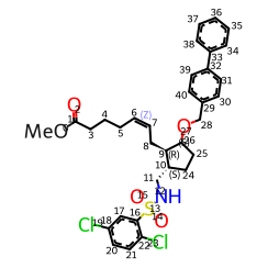 COC(=O)CCC/C=C\C[C@@H]1[C@@H](CNS(=O)(=O)c2cc(Cl)ccc2Cl)CC[C@@H]1OCc1ccc(-c2ccccc2)cc1